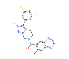 Cc1cc2nccnc2cc1C(=O)N1CCc2c(nn(C)c2-c2cc(F)c(F)c(F)c2)C1